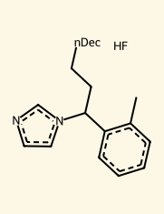 CCCCCCCCCCCCC(c1ccccc1C)n1ccnc1.F